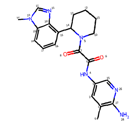 Cc1cc(NC(=O)C(=O)N2CCCCC2c2cccc3c2ncn3C)cnc1N